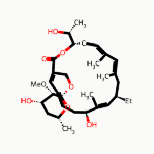 CC[C@H]1/C=C(\C)[C@@H](O)C/C=C/C=C(\CO[C@@H]2O[C@H](C)C[C@H](O)[C@@H]2OC)C(=O)O[C@H]([C@@H](C)O)C/C=C(C)/C=C(\C)C1